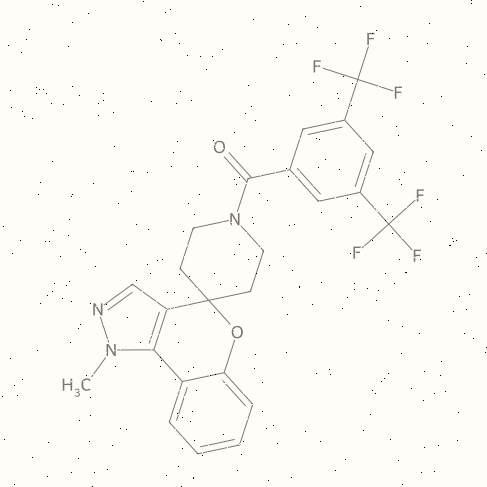 Cn1ncc2c1-c1ccccc1OC21CCN(C(=O)c2cc(C(F)(F)F)cc(C(F)(F)F)c2)CC1